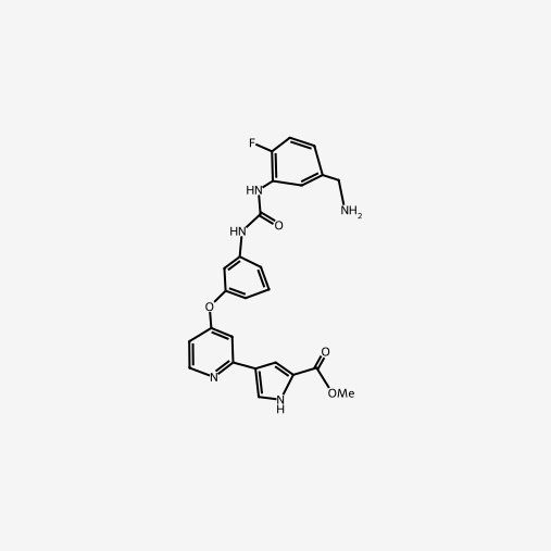 COC(=O)c1cc(-c2cc(Oc3cccc(NC(=O)Nc4cc(CN)ccc4F)c3)ccn2)c[nH]1